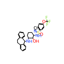 CN=S(=O)(NC1CCCC(NC2c3ccccc3CCc3ccccc32)C1O)c1ccc(OC(F)(F)F)cc1